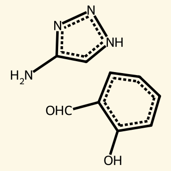 Nc1c[nH]nn1.O=Cc1ccccc1O